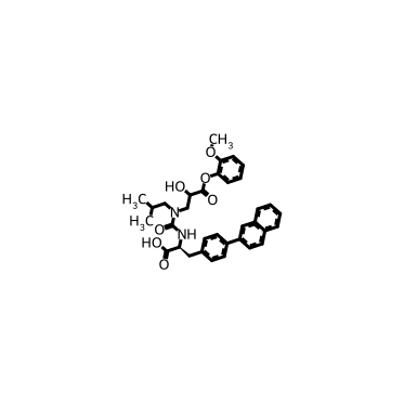 COc1ccccc1OC(=O)C(O)CN(CC(C)C)C(=O)N[C@@H](Cc1ccc(-c2ccc3ccccc3c2)cc1)C(=O)O